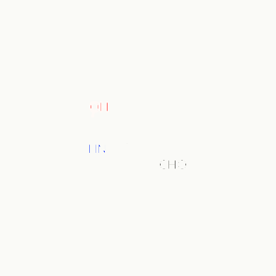 O=Cc1ccc2[nH]c(CO)cc2c1